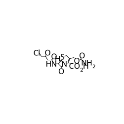 NC(=O)OCC1=C(C(=O)O)N2C(=O)C(NC(=O)CC(=O)CCl)[C@@H]2SC1